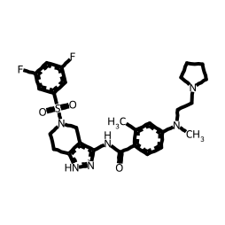 Cc1cc(N(C)CCN2CCCC2)ccc1C(=O)Nc1n[nH]c2c1CN(S(=O)(=O)c1cc(F)cc(F)c1)CC2